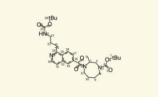 CC1CN(C(=O)OC(C)(C)C)CCCCN1S(=O)(=O)c1ccc2c(SCCNC(=O)OC(C)(C)C)nccc2c1